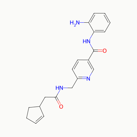 Nc1ccccc1NC(=O)c1ccc(CNC(=O)CC2C=CCC2)nc1